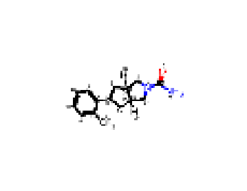 NC(=O)N1C[C@H]2C[C@H](c3ccccc3C(F)(F)F)C[C@H]2C1